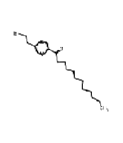 CCCCCCCCCCCC(=O)c1ccc(CCBr)cc1